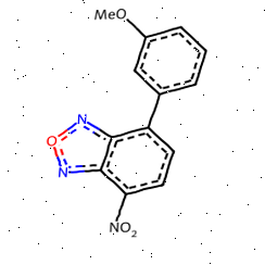 COc1cccc(-c2ccc([N+](=O)[O-])c3nonc23)c1